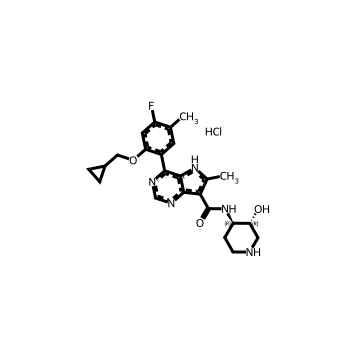 Cc1cc(-c2ncnc3c(C(=O)N[C@@H]4CCNC[C@H]4O)c(C)[nH]c23)c(OCC2CC2)cc1F.Cl